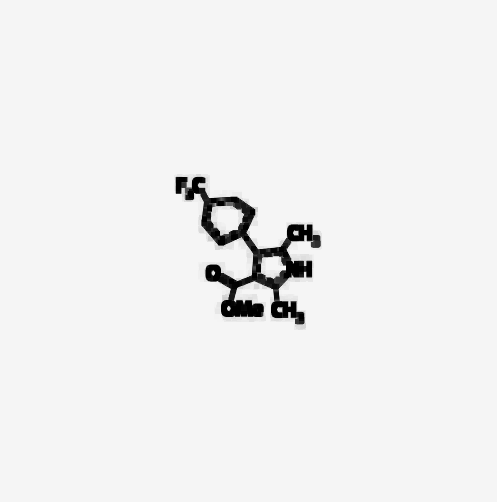 COC(=O)c1c(C)[nH]c(C)c1-c1ccc(C(F)(F)F)cc1